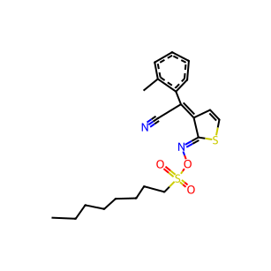 CCCCCCCCS(=O)(=O)O/N=C1\SC=C\C1=C(\C#N)c1ccccc1C